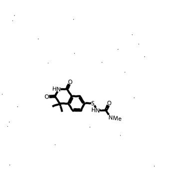 CNC(=O)NSc1ccc2c(c1)C(=O)NC(=O)C2(C)C